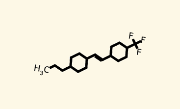 CCCC1CCC(C=CC2CCC(C(F)(F)F)CC2)CC1